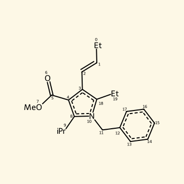 CCC=Cc1c(C(=O)OC)c(C(C)C)n(Cc2ccccc2)c1CC